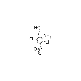 Nc1c(Cl)c(N=S(=O)=O)cc(Cl)c1CCO